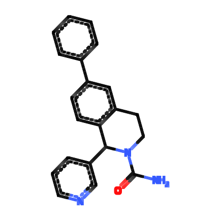 NC(=O)N1CCc2cc(-c3ccccc3)ccc2C1c1cccnc1